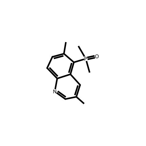 Cc1cnc2ccc(C)c(P(C)(C)=O)c2c1